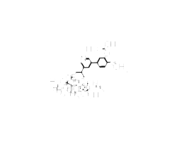 COc1ccc(-c2cncc(C(CO[Si](C)(C)C(C)(C)C)CB3OC(C)(C)C(C)(C)O3)c2)cc1OC(C)C